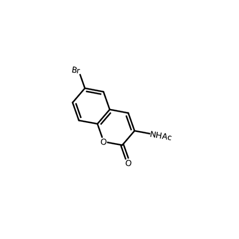 CC(=O)Nc1cc2cc(Br)ccc2oc1=O